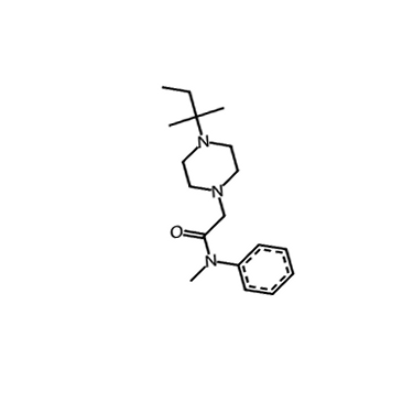 CCC(C)(C)N1CCN(CC(=O)N(C)c2ccccc2)CC1